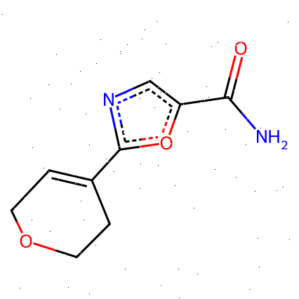 NC(=O)c1cnc(C2=CCOCC2)o1